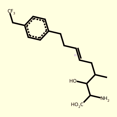 CC(C/C=C/CCc1ccc(CC(F)(F)F)cc1)C(O)C(N)C(=O)O